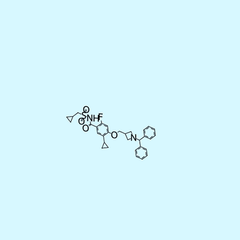 O=C(NS(=O)(=O)CC1CC1)c1cc(C2CC2)c(OCC2CN(C(c3ccccc3)c3ccccc3)C2)cc1F